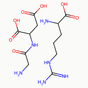 N=C(N)NCCCC(N)C(=O)O.NCC(=O)NC(CC(=O)O)C(=O)O